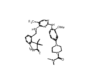 COc1cc(N2CCN(C(=O)N(C)C)CC2)ccc1Nc1ncc(C(F)(F)F)c(NCc2cccc3c2C(C)(C)C(=O)N3)n1